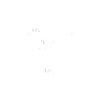 Nc1ccc(S(=O)(=O)N2CC(=O)NCC(Cc3cccc(Cl)c3)C2=O)cc1